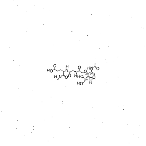 CC(=O)N[C@@H](C=O)[C@@H](OCC(=O)NCC(=O)NC(CCC(=O)O)C(N)=O)[C@H](O)[C@H](O)CO